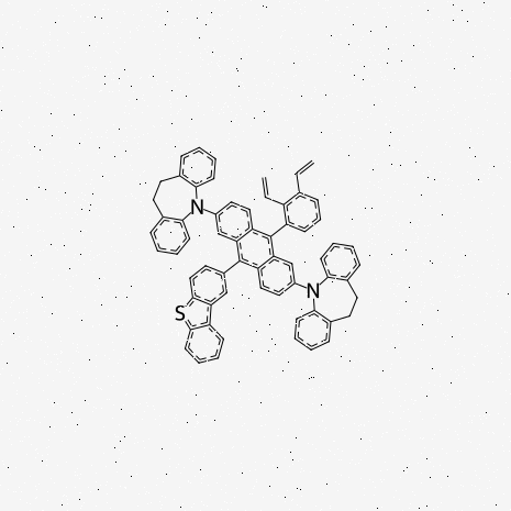 C=Cc1cccc(-c2c3ccc(N4c5ccccc5CCc5ccccc54)cc3c(-c3ccc4sc5ccccc5c4c3)c3ccc(N4c5ccccc5CCc5ccccc54)cc23)c1C=C